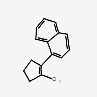 CC1=C(c2cccc3ccccc23)CCC1